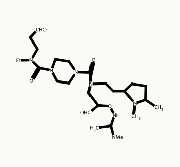 CCN(CCC=O)C(=O)N1CCN(C(=O)N(CCC2CCC(C)N2C)CC(C=O)ONC(C)NC)CC1